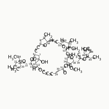 C=C1CC2CC[C@]34C[C@@H](O)C(O3)[C@@H](C[C@H](CO[Si](CC)(CC)CC)O4)OCCC/C=C/C(=O)C[C@@H]3[C@@H](OC)[C@@H](C[C@@H](C)O[Si](CC)(CC)CC)O[C@H]3C[C@H]3O[C@@H](CC[C@@H]1O2)C[C@@H](C)C3=C